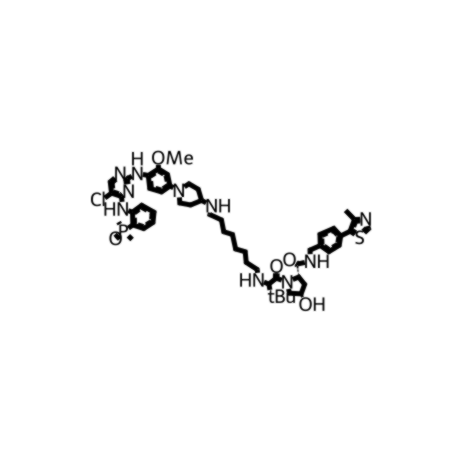 COc1cc(N2CCC(NCCCCCCCCNC(C(=O)N3C[C@H](O)C[C@H]3C(=O)NCc3ccc(-c4scnc4C)cc3)C(C)(C)C)CC2)ccc1Nc1ncc(Cl)c(Nc2ccccc2P(C)(C)=O)n1